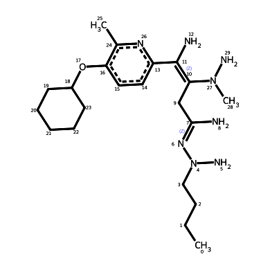 CCCCN(N)/N=C(\N)C/C(=C(/N)c1ccc(OC2CCCCC2)c(C)n1)N(C)N